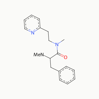 CNC(Cc1ccccc1)C(=O)N(C)CCc1ccccn1